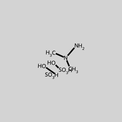 CN(C)N.O=S(=O)(O)O.O=S(=O)(O)O